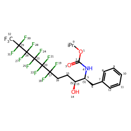 CC(C)OC(=O)N[C@@H](Cc1ccccc1)[C@@H](O)CCC(F)(F)C(F)(F)C(F)(F)C(F)(F)C(F)(F)C(F)(F)F